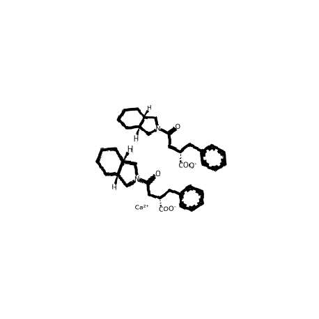 O=C([O-])[C@H](CC(=O)N1C[C@H]2CCCC[C@H]2C1)Cc1ccccc1.O=C([O-])[C@H](CC(=O)N1C[C@H]2CCCC[C@H]2C1)Cc1ccccc1.[Ca+2]